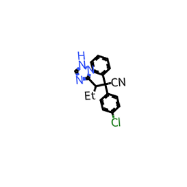 CCC(c1nc[nH]n1)C(C#N)(c1ccccc1)c1ccc(Cl)cc1